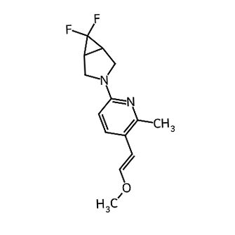 COC=Cc1ccc(N2CC3C(C2)C3(F)F)nc1C